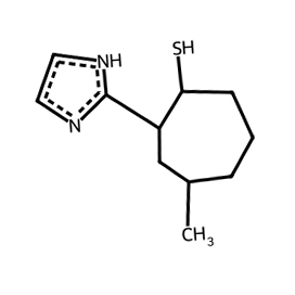 CC1CCCC(S)C(c2ncc[nH]2)C1